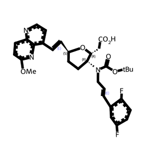 COc1ccc2nccc(/C=C/[C@@H]3CC[C@@H](N(C/C=C/c4cc(F)ccc4F)C(=O)OC(C)(C)C)[C@@H](CC(=O)O)O3)c2n1